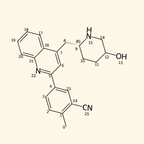 Cc1ccc(-c2cc(C[C@H]3CCC(O)CN3)c3ccccc3n2)cc1C#N